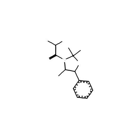 CC1C(c2ccccc2)OC(C)(C)N1C(=O)C(Cl)Cl